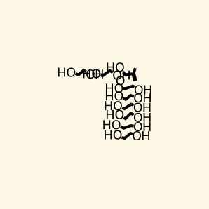 C=C(C)C(=O)O.OCCO.OCCO.OCCO.OCCO.OCCO.OCCO.OCCO.OCCO